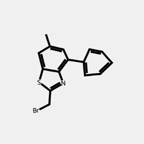 Cc1cc(-c2ccccc2)c2nc(CBr)sc2c1